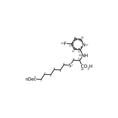 CCCCCCCCCCCCCCCCSCC(Nc1cc(F)ccn1)C(=O)O